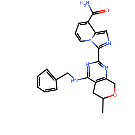 CC1Cc2c(nc(-c3ncc4c(C(N)=O)cccn34)nc2NCc2ccccc2)CO1